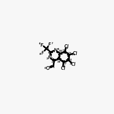 O=Cc1nc(C(F)(F)F)nc2c(Cl)c(Cl)c(Cl)c(Cl)c12